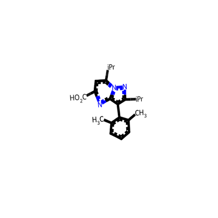 Cc1cccc(C)c1-c1c(C(C)C)nn2c(C(C)C)cc(C(=O)O)nc12